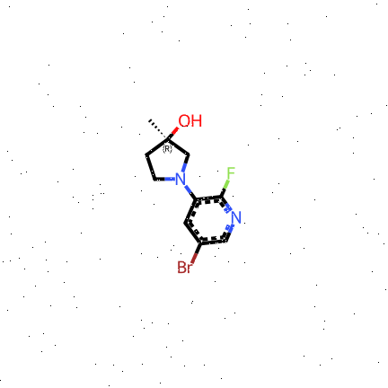 C[C@@]1(O)CCN(c2cc(Br)cnc2F)C1